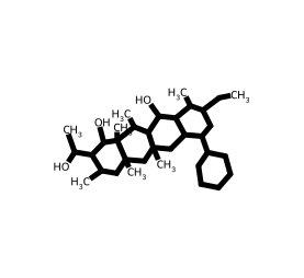 CCC1CC(C2CCCCC2)C2CC3(C)CC4(C)CC(C)C(C(C)O)C(O)C4(C)C(C)C3C(O)C2C1C